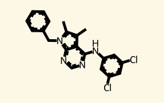 Cc1c(C)n(Cc2ccccc2)c2ncnc(Nc3cc(Cl)cc(Cl)c3)c12